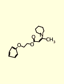 CC(=CC(=O)OCCOc1ccccc1)N1CCCCC1